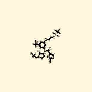 CC(C)(C)[Si](C)(C)OCCOc1cc(N(C(=O)c2csc(Br)n2)[C@@H]2CCN(CC(F)(F)F)C2=O)cc(C(F)(F)F)c1